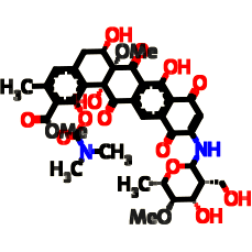 COC(=O)c1c(C)cc2c(c1OC(=O)N(C)C)[C@]1(O)C(=O)c3cc4c(c(O)c3C(=O)[C@]1(OC)[C@H](O)C2)C(=O)C=C(NC1O[C@@H](C)[C@H](OC)[C@@H](O)[C@H]1CO)C4=O